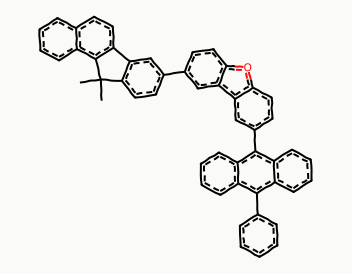 CC1(C)c2ccc(-c3ccc4oc5ccc(-c6c7ccccc7c(-c7ccccc7)c7ccccc67)cc5c4c3)cc2-c2ccc3ccccc3c21